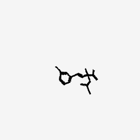 C=C(C)C(C)(/C=C/c1cccc(C)c1)CC(C)C